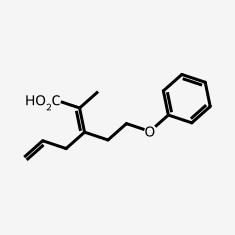 C=CCC(CCOc1ccccc1)=C(C)C(=O)O